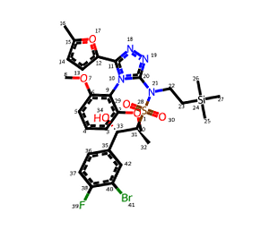 COc1cccc(OC)c1-n1c(-c2ccc(C)o2)nnc1N(CC[Si](C)(C)C)S(=O)(=O)[C@@H](C)[C@@H](O)c1ccc(F)c(Br)c1